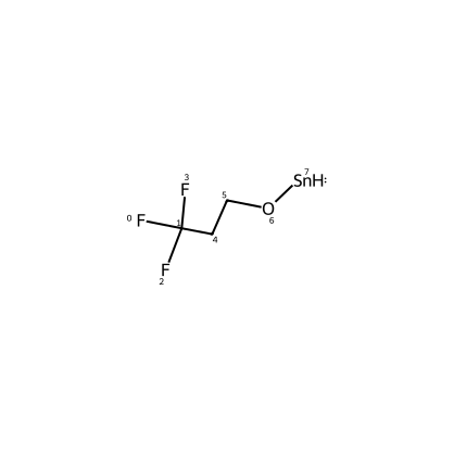 FC(F)(F)CC[O][SnH]